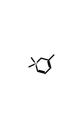 CC1=CC=C[N+](C)(C)C1